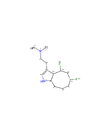 CCCN(CC)CCC1=CNC2CCCC(F)CC(F)C12